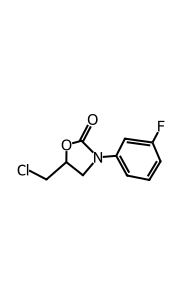 O=C1OC(CCl)CN1c1cccc(F)c1